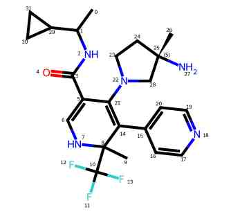 CC(NC(=O)C1=CNC(C)(C(F)(F)F)C(c2ccncc2)=C1N1CC[C@](C)(N)C1)C1CC1